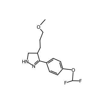 COCCCC1CNN=C1c1ccc(OC(F)F)cc1